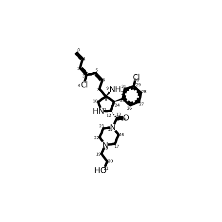 C=C/C=C(Cl)\C=C/C[C@@]1(N)CN[C@@H](C(=O)N2CCN(CCO)CC2)[C@@H]1c1cccc(Cl)c1